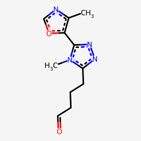 Cc1ncoc1-c1nnc(CCCC=O)n1C